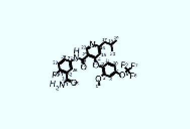 COc1cc(OC(F)(F)F)ccc1Oc1cc(CC(C)C)ncc1C(=O)Nc1ccc(F)c(C(N)=O)c1